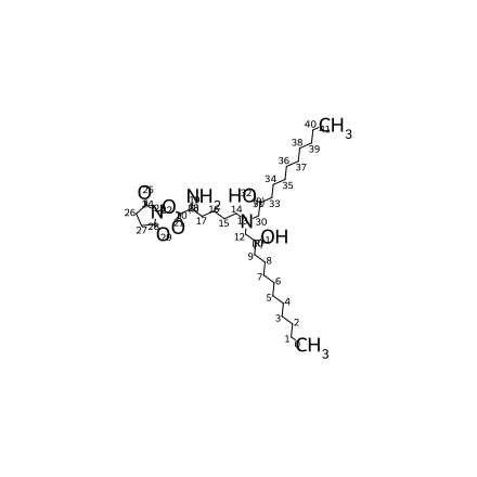 CCCCCCCCCC[C@@H](O)CN(CCCC[C@H](N)C(=O)ON1C(=O)CCC1=O)C[C@H](O)CCCCCCCCC